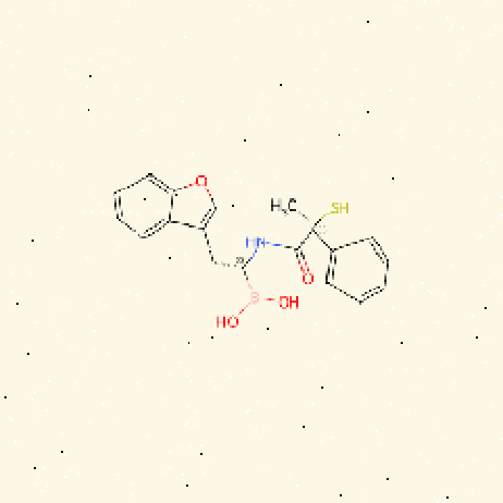 C[C@@](S)(C(=O)N[C@@H](Cc1coc2ccccc12)B(O)O)c1ccccc1